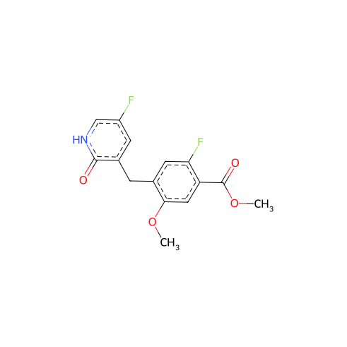 COC(=O)c1cc(OC)c(Cc2cc(F)c[nH]c2=O)cc1F